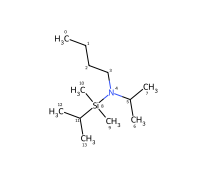 CCCCN(C(C)C)[Si](C)(C)C(C)C